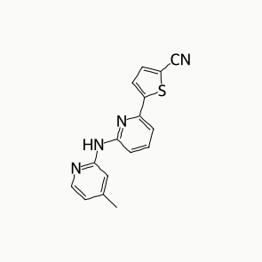 Cc1ccnc(Nc2cccc(-c3ccc(C#N)s3)n2)c1